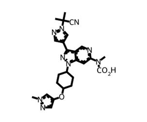 CN(C(=O)O)c1cc2c(cn1)c(-c1cnn(C(C)(C)C#N)c1)nn2C1CCC(Oc2cnn(C)c2)CC1